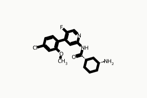 COc1cc(Cl)ccc1-c1cc(NC(=O)[C@H]2CCC[C@@H](N)C2)ncc1F